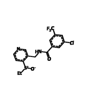 CC[S+]([O-])c1ccncc1CNC(=O)c1cc(Cl)cc(C(F)(F)F)c1